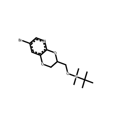 CC(C)(C)[Si](C)(C)OCC1COc2cc(Br)cnc2O1